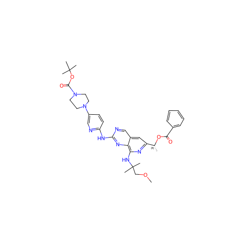 COCC(C)(C)Nc1nc([C@@H](C)OC(=O)c2ccccc2)cc2cnc(Nc3ccc(N4CCN(C(=O)OC(C)(C)C)CC4)cn3)nc12